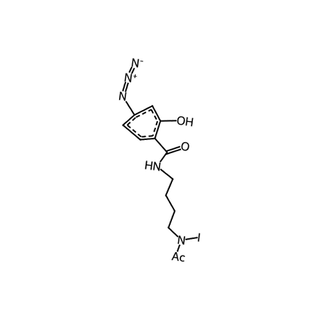 CC(=O)N(I)CCCCNC(=O)c1ccc(N=[N+]=[N-])cc1O